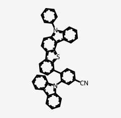 N#Cc1ccc(-c2cccc3c2sc2c3ccc3c2c2ccccc2n3-c2ccccc2)c(-n2c3ccccc3c3ccccc32)c1